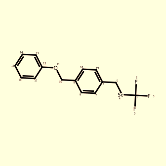 FC(F)(F)[Se]Cc1ccc(COc2ccccc2)cc1